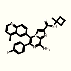 Cc1ccnc2ccc(-c3c(-c4ccc(F)cc4)nc(N)c4nc(C(=O)NC5(C)CCC5)cn34)cc12